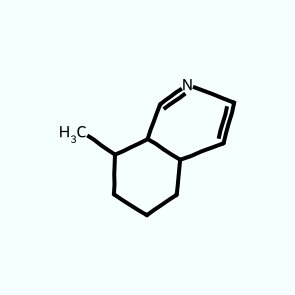 CC1CCCC2C=CN=CC12